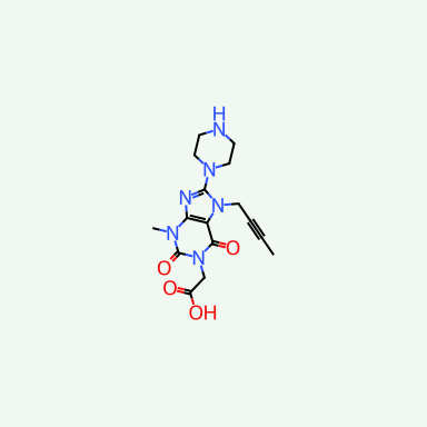 CC#CCn1c(N2CCNCC2)nc2c1c(=O)n(CC(=O)O)c(=O)n2C